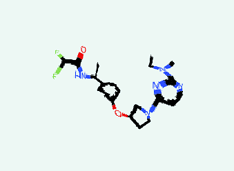 CCN(C)c1nccc(N2CC[C@@H](Oc3ccc([C@H](C)NC(=O)C(F)F)cc3)C2)n1